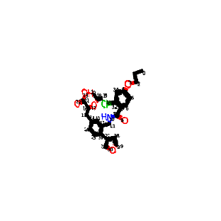 CCCOc1ccc(C(=O)NCc2cc(CC(OC(C)C)C(=O)O)ccc2-c2ccoc2)c(Cl)c1